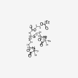 CCC(=O)OCCOC(=O)CC(SCCC1=NC(C)(C)C(=O)O1)SCCC1=NC(C)(C)C(=O)O1